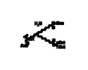 CCCCCCCCCOC(=O)CCCCCCCN(CCCCCCCC(=O)OC(CCCCCCCC)CCCCCCCC)CCCN/C(=N\OOC(C)=O)N(C)C.O